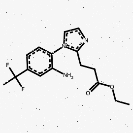 CCOC(=O)CCc1nccn1-c1ccc(C(C)(F)F)cc1N